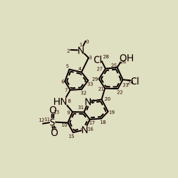 CN(C)Cc1ccc(Nc2c(S(C)(=O)=O)cnc3ccc(-c4cc(Cl)c(O)c(Cl)c4)nc23)cc1